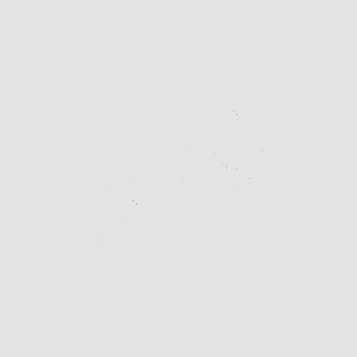 N#CCCc1cccc2c1N(Cc1ccc(/C=C/c3ccc4ccc(Cl)cc4n3)cc1)CC2